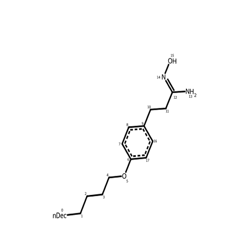 CCCCCCCCCCCCCCOc1ccc(CCC(N)=NO)cc1